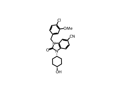 COc1cc(Cn2c(=O)n([C@H]3CC[C@H](O)CC3)c3ccc(C#N)cc32)ccc1Cl